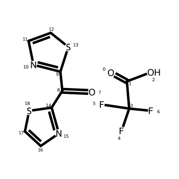 O=C(O)C(F)(F)F.O=C(c1nccs1)c1nccs1